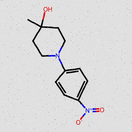 CC1(O)CCN(c2ccc([N+](=O)[O-])cc2)CC1